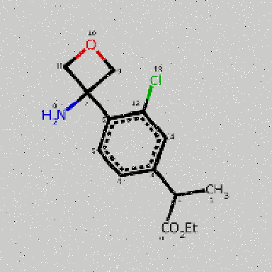 CCOC(=O)C(C)c1ccc(C2(N)COC2)c(Cl)c1